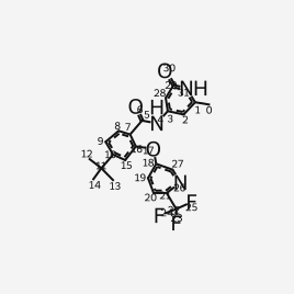 Cc1cc(NC(=O)c2ccc(C(C)(C)C)cc2Oc2ccc(C(F)(F)F)nc2)cc(=O)[nH]1